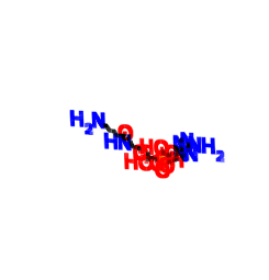 NCCCCCC(=O)NCCCOCC(O)COP(=O)(O)O[C@@H]1C[C@H](n2cnc3c(N)ncnc32)OC1CO